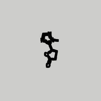 Cn1ncnc1C1CCC(=O)O1